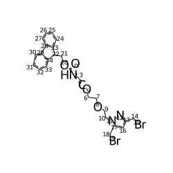 O=C(NCCOCCOCCn1nc(CBr)cc1CBr)OCC1c2ccccc2-c2ccccc21